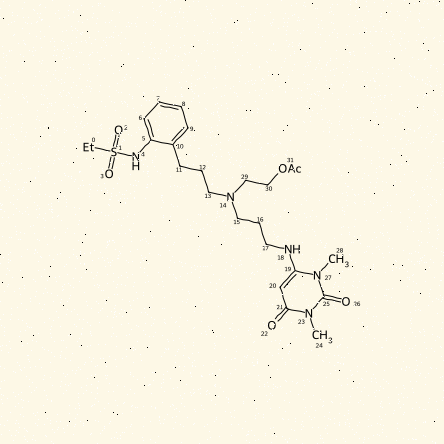 CCS(=O)(=O)Nc1ccccc1CCCN(CCCNc1cc(=O)n(C)c(=O)n1C)CCOC(C)=O